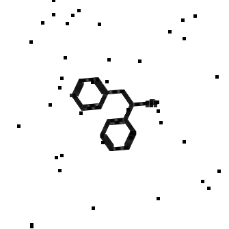 CCCC(Cc1cc[c]cc1)c1ccccc1